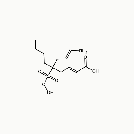 CCCCC(CC=CN)(CC=CC(=O)O)S(=O)(=O)OO